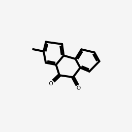 Cc1ccc2c(c1)C(=O)C(=O)c1ccccc1-2